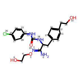 N/C(=N\OCCO)C(Cc1ccc(CCO)cc1)NC(=O)Nc1ccc(Cl)cc1